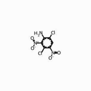 Nc1c(Cl)cc([N+](=O)[O-])c(Cl)c1[N+](=O)[O-]